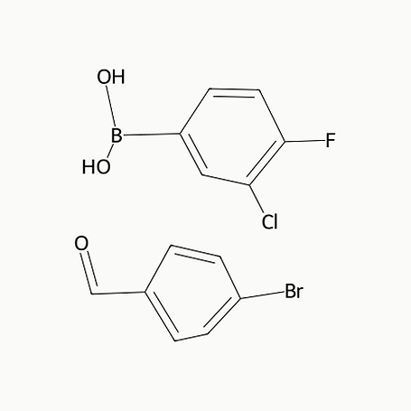 O=Cc1ccc(Br)cc1.OB(O)c1ccc(F)c(Cl)c1